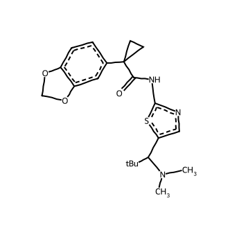 CN(C)C(c1cnc(NC(=O)C2(c3ccc4c(c3)OCO4)CC2)s1)C(C)(C)C